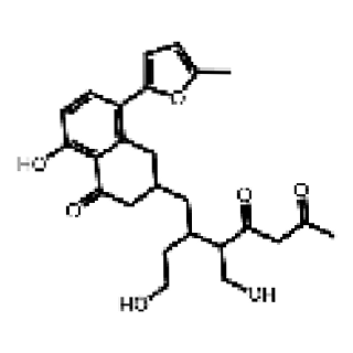 CC(=O)CC(=O)C(CO)C(CCO)CC1CC(=O)c2c(O)ccc(-c3ccc(C)o3)c2C1